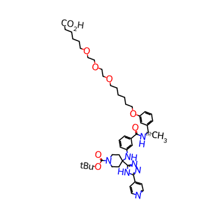 C[C@H](NC(=O)c1cccc(NC2(c3nnc(-c4ccncc4)[nH]3)CCN(C(=O)OC(C)(C)C)CC2)c1)c1cccc(OCCCCCCOCCOCCOCCCCCC(=O)O)c1